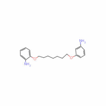 Nc1cccc(OCCCCCCCOc2ccccc2N)c1